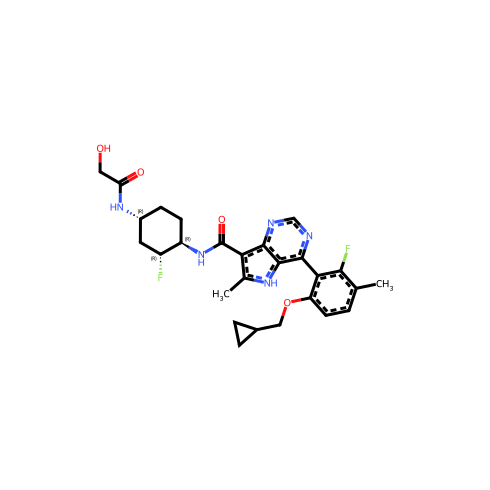 Cc1ccc(OCC2CC2)c(-c2ncnc3c(C(=O)N[C@@H]4CC[C@@H](NC(=O)CO)C[C@H]4F)c(C)[nH]c23)c1F